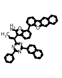 C/C=C(/c1nc(-c2ccccc2)nc(-c2ccc3ccccc3c2)n1)c1c(N)oc2c(-c3cccc4c3oc3cc5ccccc5cc34)cccc12